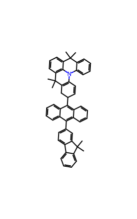 CC1(C)C2=C(C=CC(c3c4ccccc4c(-c4ccc5c(c4)C(C)(C)c4ccccc4-5)c4ccccc34)C2)N2c3ccccc3C(C)(C)c3cccc1c32